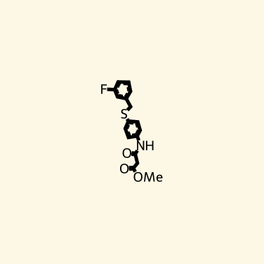 COC(=O)CC(=O)Nc1ccc(SCc2cccc(F)c2)cc1